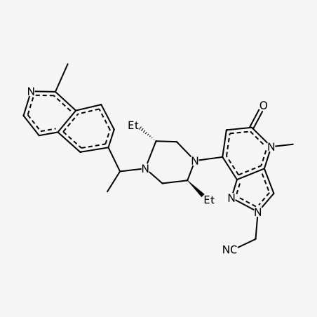 CC[C@H]1CN(C(C)c2ccc3c(C)nccc3c2)[C@H](CC)CN1c1cc(=O)n(C)c2cn(CC#N)nc12